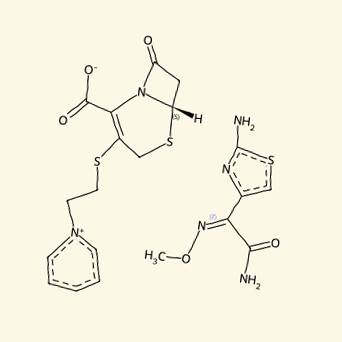 CO/N=C(\C(N)=O)c1csc(N)n1.O=C([O-])C1=C(SCC[n+]2ccccc2)CS[C@H]2CC(=O)N12